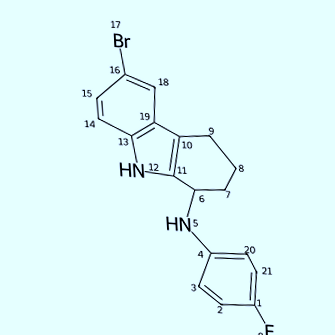 Fc1ccc(NC2CCCc3c2[nH]c2ccc(Br)cc32)cc1